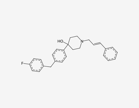 OC1(c2ccc(Cc3ccc(F)cc3)cc2)CCN(CC=Cc2ccccc2)CC1